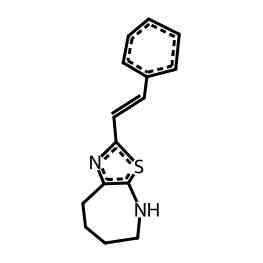 C(=C\c1nc2c(s1)NCCCC2)/c1ccccc1